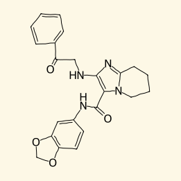 O=C(CNc1nc2n(c1C(=O)Nc1ccc3c(c1)OCO3)CCCC2)c1ccccc1